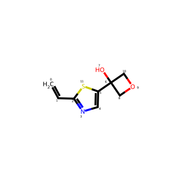 C=Cc1ncc(C2(O)COC2)s1